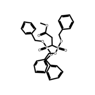 COC(=O)CC(P(=O)(OCc1ccccc1)OCc1ccccc1)P(=O)(OCc1ccccc1)OCc1ccccc1